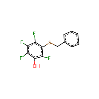 Oc1c(F)c(F)c(F)c(SCc2ccccc2)c1F